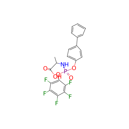 CC(N[P@](=O)(Oc1ccc(-c2ccccc2)cc1)Oc1c(F)c(F)c(F)c(F)c1F)C(=O)O